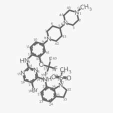 CN1CCN(C2CCN(c3ccc(Nc4ncc(Br)c(Nc5cccc6c5N(S(C)(=O)=O)CC6)n4)c(OC(F)(F)F)c3)CC2)CC1